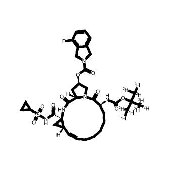 [2H]C([2H])([2H])C(OC(=O)N[C@H]1CCCCC/C=C\[C@@H]2C[C@@]2(C(=O)NS(=O)(=O)C2CC2)NC(=O)[C@@H]2C[C@@H](OC(=O)N3Cc4cccc(F)c4C3)CN2C1=O)(C([2H])([2H])[2H])C([2H])([2H])[2H]